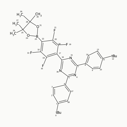 CC(C)(C)c1ccc(-c2nc(-c3ccc(C(C)(C)C)cc3)nc(-c3c(F)c(F)c(B4OC(C)(C)C(C)(C)O4)c(F)c3F)n2)cc1